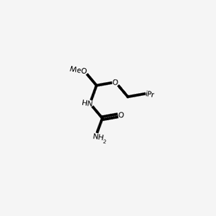 COC(NC(N)=O)OCC(C)C